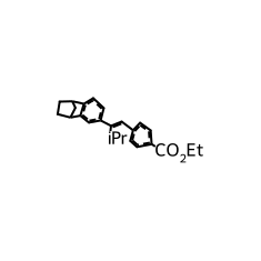 CCOC(=O)c1ccc(C=C(c2ccc3c(c2)C2CCC3C2)C(C)C)cc1